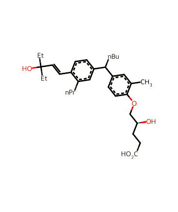 CCCCC(c1ccc(OC[C@@H](O)CCC(=O)O)c(C)c1)c1ccc(C=CC(O)(CC)CC)c(CCC)c1